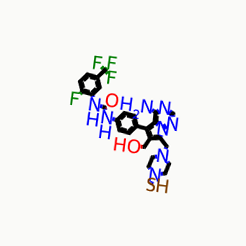 Nc1ncnn2c(CN3CCN(S)CC3)c(CO)c(-c3ccc(NC(=O)Nc4cc(C(F)(F)F)ccc4F)cc3)c12